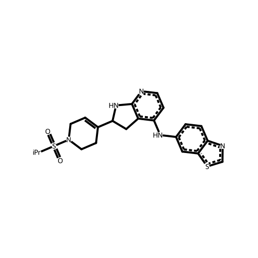 CC(C)S(=O)(=O)N1CC=C(C2Cc3c(Nc4ccc5ncsc5c4)ccnc3N2)CC1